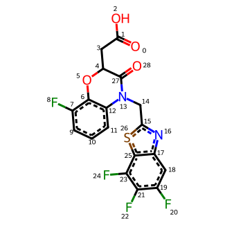 O=C(O)CC1Oc2c(F)cccc2N(Cc2nc3cc(F)c(F)c(F)c3s2)C1=O